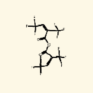 O=C(OC(=O)C(=CC(F)(F)F)C(F)(F)F)C(=CC(F)(F)F)C(F)(F)F